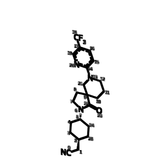 N#CC[C@H]1CC[C@H](N2CCC3(CCCN(c4ccc(C(F)(F)F)cn4)C3)C2=O)CC1